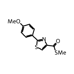 COc1ccc(-c2nc(C(=O)SC)cs2)cc1